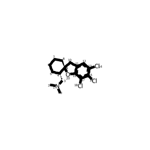 CN(C)C[C@@H]1CCCC[C@]12Cc1cc(Cl)c(Cl)c(Cl)c1O2